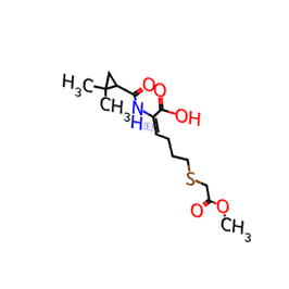 COC(=O)CSCCC/C=C(/NC(=O)C1CC1(C)C)C(=O)O